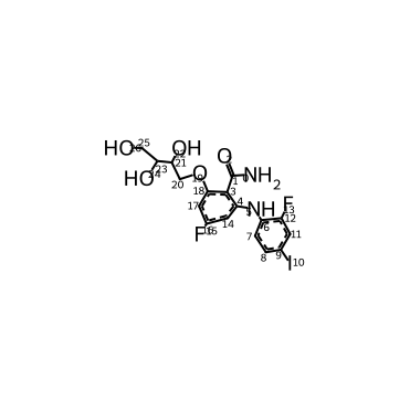 NC(=O)c1c(Nc2ccc(I)cc2F)cc(F)cc1OCC(O)C(O)CO